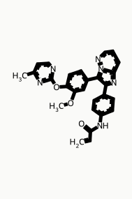 C=CC(=O)Nc1ccc(-c2nc3cccnn3c2-c2ccc(Oc3nccc(C)n3)c(OC)c2)cc1